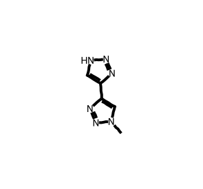 Cn1cc(-c2c[nH]nn2)nn1